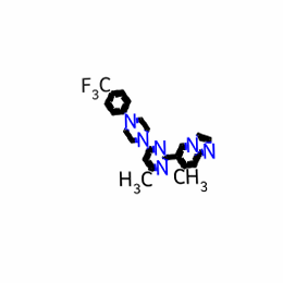 Cc1cc(N2CCN(c3ccc(C(F)(F)F)cc3)CC2)nc(-c2cn3ccnc3cc2C)n1